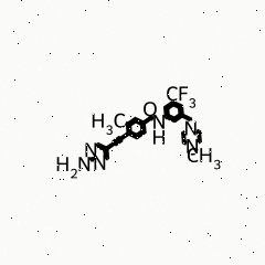 Cc1cc(C(=O)Nc2cc(CN3CCN(C)CC3)cc(C(F)(F)F)c2)ccc1C#Cc1cnc(N)nc1